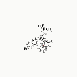 COc1nc2ccc(Br)cc2cc1C(c1ccccc1)C(O)(CCCCN(C)C)c1cc(F)cc(F)c1